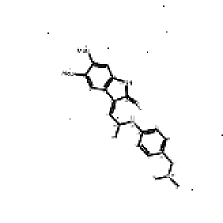 COc1cc2c(cc1OC)C(=CC(C)Nc1ccc(CN(C)C)cc1)C(=O)N2